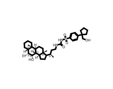 CC[C@H]1[C@@H](O)[C@@H]2[C@H](CC[C@]3(C)C([C@H](C)CCNC(=O)NS(=O)(=O)c4ccc(C5(CO)CCCC5)cc4)CC[C@@H]23)[C@@]2(C)CCCC[C@@H]12